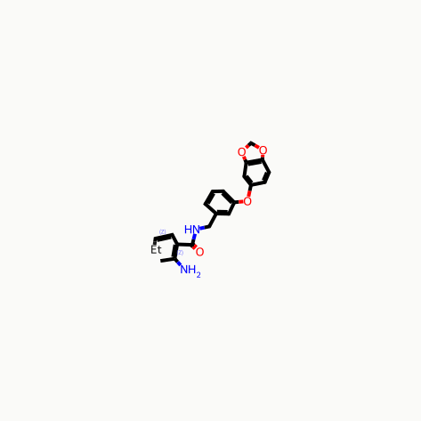 CC/C=C\C(C(=O)NCc1cccc(Oc2ccc3c(c2)OCO3)c1)=C(/C)N